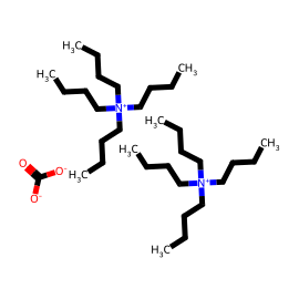 CCCC[N+](CCCC)(CCCC)CCCC.CCCC[N+](CCCC)(CCCC)CCCC.O=C([O-])[O-]